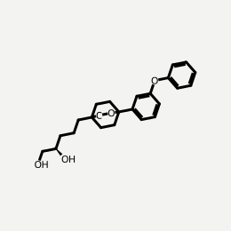 OC[C@H](O)CCCC12CCC(c3cccc(Oc4ccccc4)c3)(CC1)OC2